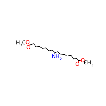 COC(=O)CCCCCCCC(N)CCCCCCCC(=O)OC